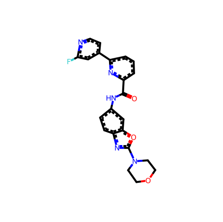 O=C(Nc1ccc2nc(N3CCOCC3)oc2c1)c1cccc(-c2ccnc(F)c2)n1